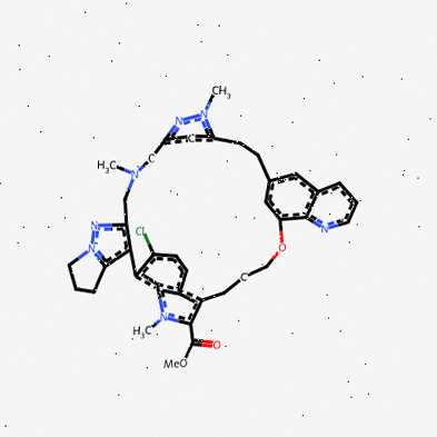 COC(=O)c1c2c3ccc(Cl)c(c3n1C)-c1c(nn3c1CCC3)CN(C)Cc1cc(n(C)n1)CCc1cc(c3ncccc3c1)OCCC2